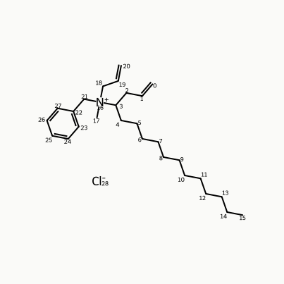 C=CCC(CCCCCCCCCCCC)[N+](C)(CC=C)Cc1ccccc1.[Cl-]